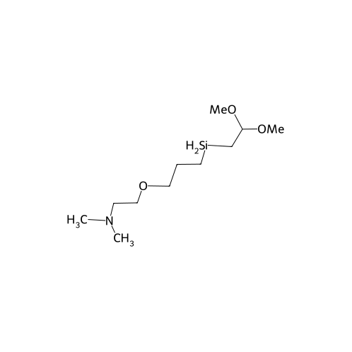 COC(C[SiH2]CCCOCCN(C)C)OC